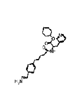 NN=Cc1ccc(CCCCC(=O)NC(Cc2cccnc2)C(=O)OC2CCCCC2)cc1